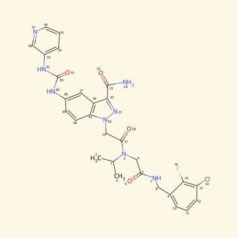 CC(C)N(CC(=O)NCc1cccc(Cl)c1F)C(=O)Cn1nc(C(N)=O)c2cc(NC(=O)Nc3cccnc3)ccc21